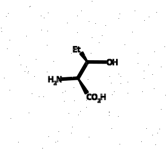 CC[C@@H](O)[C@H](N)C(=O)O